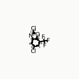 FC(F)(F)c1cc(Cl)cc2nc(Cl)oc12